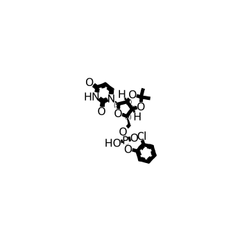 CC1(C)O[C@@H]2[C@H](O1)[C@@H](COP(=O)(O)Oc1ccccc1Cl)O[C@@H]2n1ccc(=O)[nH]c1=O